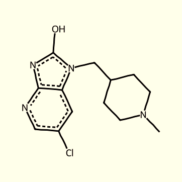 CN1CCC(Cn2c(O)nc3ncc(Cl)cc32)CC1